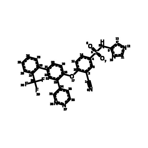 N#Cc1cc(S(=O)(=O)Nc2ncns2)ccc1Oc1ccc(-c2ccccc2C(F)(F)F)cc1-c1ccnnc1